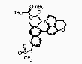 CCCCOC(Cc1c(C)cc2nc(OS(=O)(=O)C(F)(F)F)ccc2c1-c1ccc2c3c(ccnc13)CCO2)OC(=O)C(C)(C)C